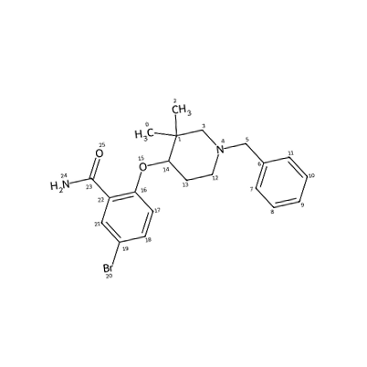 CC1(C)CN(Cc2ccccc2)CCC1Oc1ccc(Br)cc1C(N)=O